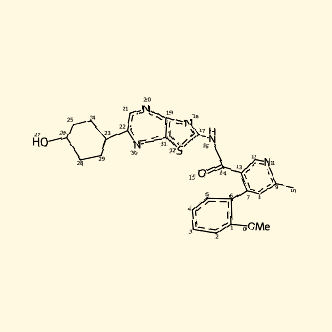 COc1ccccc1-c1cc(C)ncc1C(=O)Nc1nc2ncc(C3CCC(O)CC3)nc2s1